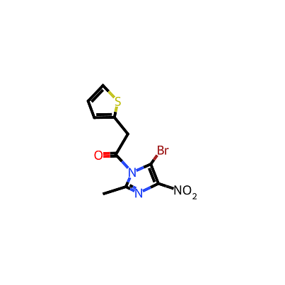 Cc1nc([N+](=O)[O-])c(Br)n1C(=O)Cc1cccs1